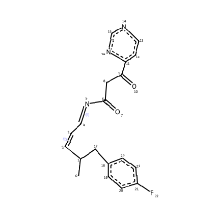 CC(/C=C\C=N\C(=O)CC(=O)c1ccncn1)Cc1ccc(F)cc1